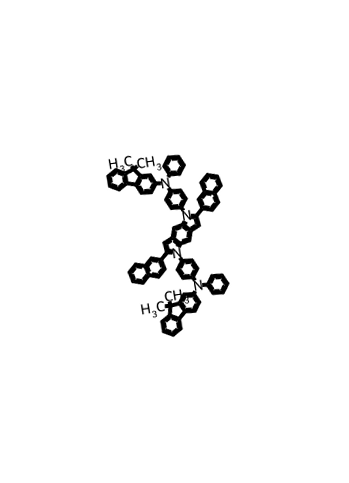 CC1(C)c2ccccc2-c2ccc(N(c3ccccc3)c3ccc(-n4c(-c5ccc6ccccc6c5)cc5cc6c(cc(-c7ccc8ccccc8c7)n6-c6ccc(N(c7ccccc7)c7ccc8c(c7)C(C)(C)c7ccccc7-8)cc6)cc54)cc3)cc21